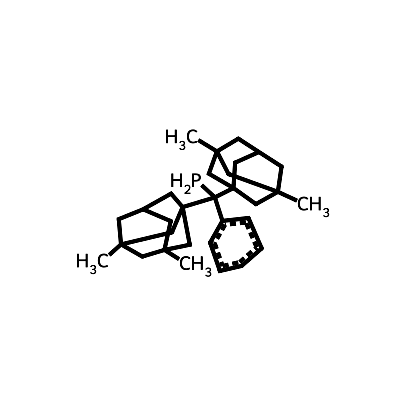 CC12CC3CC(C)(C1)CC(C(P)(c1ccccc1)C14CC5CC(C)(CC(C)(C5)C1)C4)(C3)C2